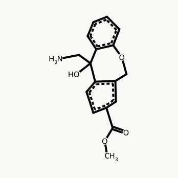 COC(=O)c1ccc2c(c1)COc1ccccc1C2(O)CN